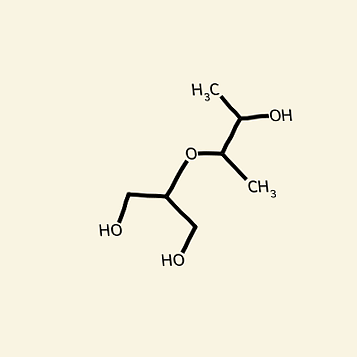 CC(O)C(C)OC(CO)CO